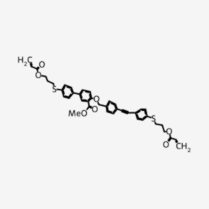 C=CC(=O)OCCCSc1ccc(C#Cc2ccc(COc3ccc(-c4ccc(SCCCOC(=O)C=C)cc4)cc3C(=O)OC)cc2)cc1